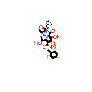 CN1C(=O)c2c(O)c(=O)c(C(=O)NCc3c(F)cc(F)cc3F)c3n2N(CC3O)C12CCOC2